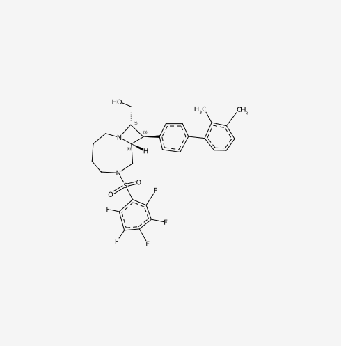 Cc1cccc(-c2ccc([C@@H]3[C@@H](CO)N4CCCCN(S(=O)(=O)c5c(F)c(F)c(F)c(F)c5F)C[C@@H]34)cc2)c1C